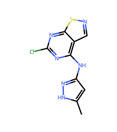 Cc1cc(Nc2nc(Cl)nc3sncc23)n[nH]1